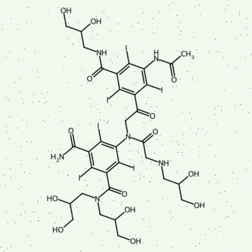 CC(=O)Nc1c(I)c(C(=O)CN(C(=O)CNCC(O)CO)c2c(I)c(C(N)=O)c(I)c(C(=O)N(CC(O)CO)CC(O)CO)c2I)c(I)c(C(=O)NCC(O)CO)c1I